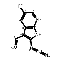 [N-]=[N+]=Nc1[nH]c2ncc(F)cc2c1C=O